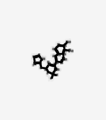 CC1(C)CC(Cc2nccs2)N=C(c2cnc3c(F)c(F)ccc3c2)O1